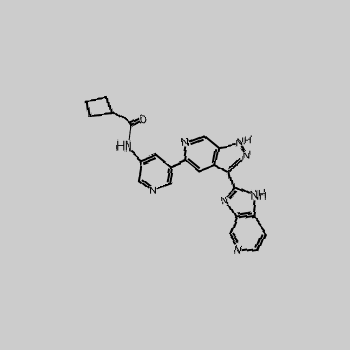 O=C(Nc1cncc(-c2cc3c(-c4nc5cnccc5[nH]4)n[nH]c3cn2)c1)C1CCC1